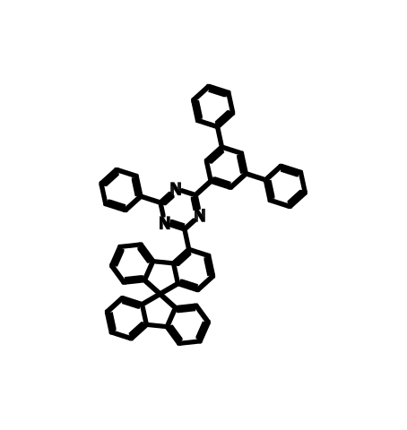 c1ccc(-c2cc(-c3ccccc3)cc(-c3nc(-c4ccccc4)nc(-c4cccc5c4-c4ccccc4C54c5ccccc5-c5ccccc54)n3)c2)cc1